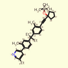 CCc1cncc(-c2ccc(C(CC)(CC)c3ccc(C#CC4(O[Si](C)(C)C)CCCC4)c(C)c3)cc2C)c1